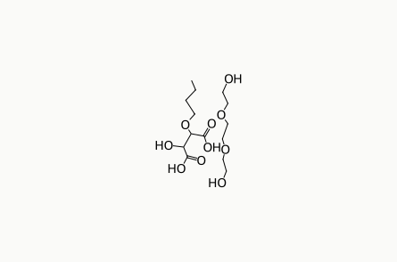 CCCCOC(C(=O)O)C(O)C(=O)O.OCCOCCOCCO